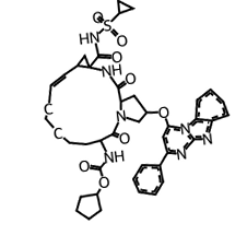 O=C(NC1CCCCCC=CC2CC2(C(=O)NS(=O)(=O)C2CC2)NC(=O)C2CC(Oc3cc(-c4ccccc4)nc4nc5ccccc5n34)CN2C1=O)OC1CCCC1